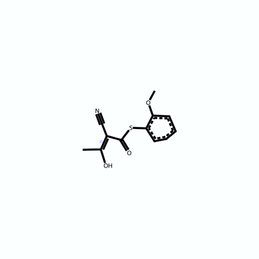 COc1ccccc1SC(=O)/C(C#N)=C(/C)O